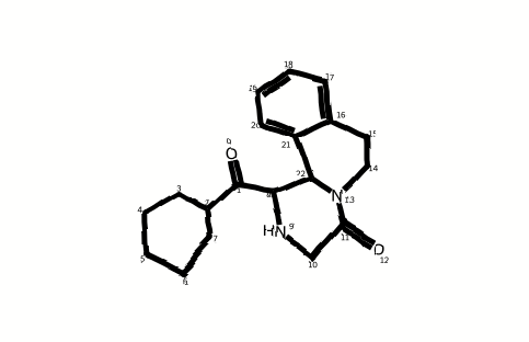 O=C(C1CCCCC1)C1NCC(=O)N2CCc3ccccc3C12